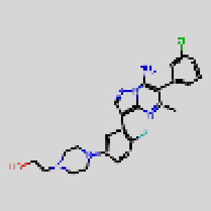 Cc1nc2c(-c3cc(N4CCN(CCO)CC4)ccc3F)cnn2c(N)c1-c1cccc(Cl)c1